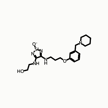 [O-][s+]1nc(NCCO)c(NCCCOc2cccc(CN3CCCCC3)c2)n1